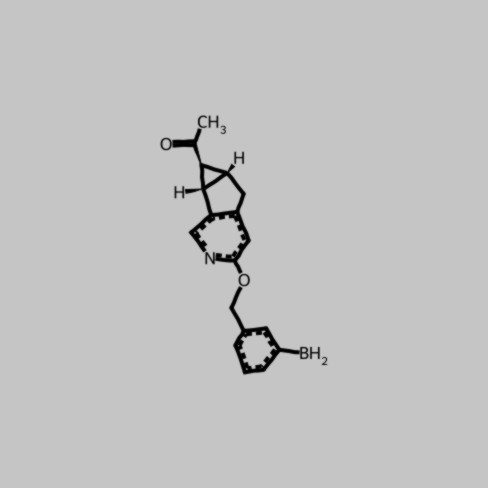 Bc1cccc(COc2cc3c(cn2)[C@H]2[C@@H](C3)[C@@H]2C(C)=O)c1